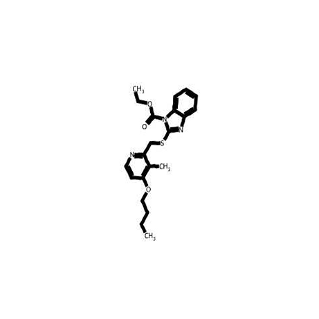 CCCCOc1ccnc(CSc2nc3ccccc3n2C(=O)OCC)c1C